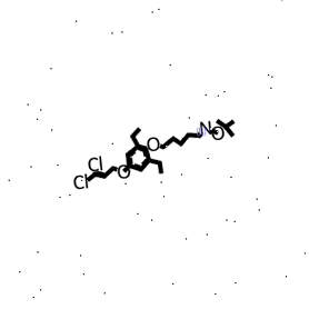 CCc1cc(OCC=C(Cl)Cl)cc(CC)c1OCCCC/C=N/OC(C)(C)C